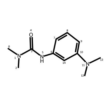 CN(C)C(=O)Nc1cccc(N(C)C)c1